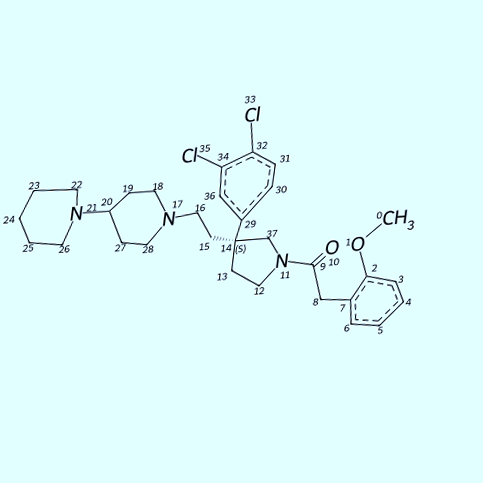 COc1ccccc1CC(=O)N1CC[C@@](CCN2CCC(N3CCCCC3)CC2)(c2ccc(Cl)c(Cl)c2)C1